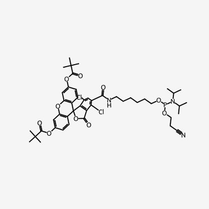 CC(C)N(C(C)C)P(OCCC#N)OCCCCCCNC(=O)c1cc(Cl)c2c(c1Cl)C(=O)OC21c2ccc(OC(=O)C(C)(C)C)cc2Oc2cc(OC(=O)C(C)(C)C)ccc21